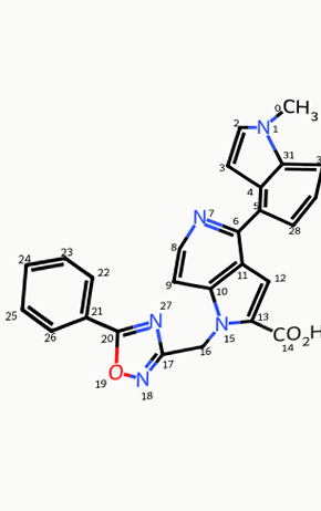 Cn1ccc2c(-c3nccc4c3cc(C(=O)O)n4Cc3noc(-c4ccccc4)n3)cccc21